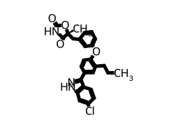 CCCc1cc(-c2n[nH]c3cc(Cl)ccc23)ccc1Oc1cccc(C[C@@]2(C)OC(=O)NC2=O)c1